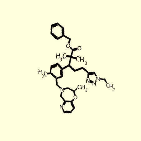 CCn1cc(CCC(c2ccc(C)c(CN3Cc4ncccc4O[C@H](C)C3)c2)C(C)(C)C(=O)OCc2ccccc2)nn1